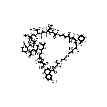 CCCC(=O)OCN(C(=O)[C@@H](NC(=O)[C@H]1CCCCN1C)C(C)CC)[C@H](CCc1nc(C(=O)N[C@H]2Cc3ccc(O)cc3C(C(=O)NNC(=O)OCCSSCCNC(=O)[C@@H](Cc3ccccc3)NC(=O)[C@H](C)NC(=O)CCCNC(=O)CC[C@](C)(NC(=O)N[C@@H](CCC(=O)O)C(=O)O)C(=O)O)C2)cs1)CC(C)C